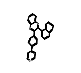 c1ccc2c(-c3nc4ccccc4nc3-c3ccc(-c4ccncc4)cc3)cccc2c1